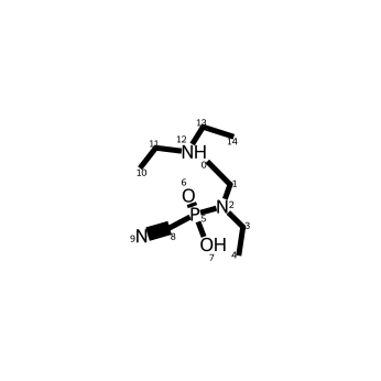 CCN(CC)P(=O)(O)C#N.CCNCC